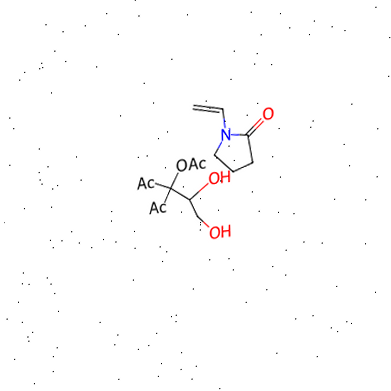 C=CN1CCCC1=O.CC(=O)OC(C(C)=O)(C(C)=O)C(O)CO